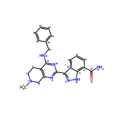 CN1CCc2c(nc(-c3n[nH]c4c(C(N)=O)cccc34)nc2NCc2ccccc2)C1